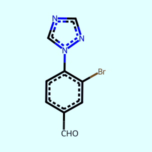 O=Cc1ccc(-n2cncn2)c(Br)c1